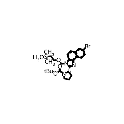 CC(C)(C)OC(=O)N1CCC[C@H]1c1nc2c3ccc(Br)cc3ccc2n1COCC[Si](C)(C)C